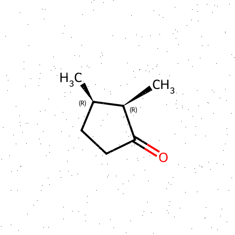 C[C@@H]1CCC(=O)[C@@H]1C